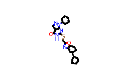 O=c1[nH]c(SCc2nc3cc(-c4ccccc4)ccc3o2)nc2c1cnn2-c1ccccc1